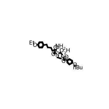 CCCCOc1ccc(S(=O)(=O)N2CCN(C(=O)[C@](CCCCc3ccc(OCC)cc3)(ON)C(=O)O)CC2)cc1